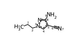 CCCn1cc(C#N)c(N)n1